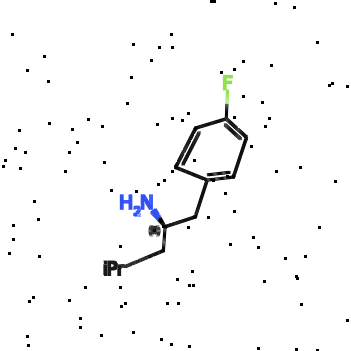 CC(C)C[C@@H](N)Cc1ccc(F)cc1